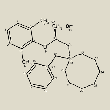 Cc1cccc(C)c1O[C@@H](C)C[N+]1(Cc2ccccc2)CCCCCCC1.[Br-]